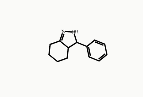 c1ccc(C2NN=C3CCCCC32)cc1